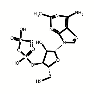 Cc1nc(N)c2ncn([C@@H]3O[C@H](CS)[C@@H](OP(=O)(O)OP(=O)(O)O)[C@H]3O)c2n1